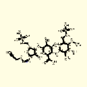 C#CCO/N=C\[C@@H]1O[C@H](COS(=O)(=O)O)[C@H](O[C@@H]2OC(C(=O)O)[C@@H](O[C@@H]3OC(COS(=O)(=O)O)[C@@H](OC)[C@H](O)C3C)[C@H](O)C2O)C1O